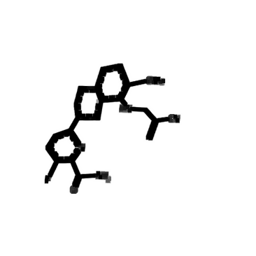 C=C(C#N)CNc1c(OC)ccc2ccc(-c3ccc(F)c(C(N)=O)n3)cc12